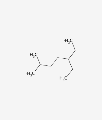 [CH2]CC(CC)CCC([CH2])C